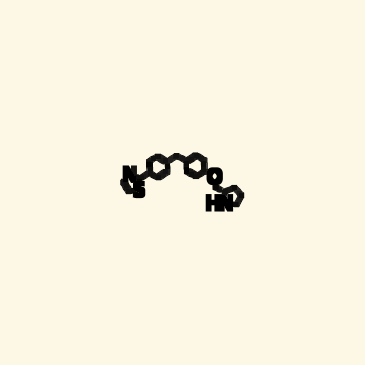 c1csc(-c2ccc(Cc3ccc(OC[C@H]4CCCN4)cc3)cc2)n1